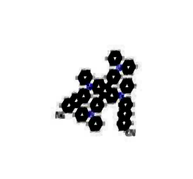 N#Cc1ccc2cc3cc(N(c4ccccc4)c4ccc5c(-c6ccc(N(c7ccccc7)c7ccccc7)cc6)c6cc(N(c7ccccc7)c7ccc8cc9cc(C#N)ccc9cc8c7)ccc6c(-c6ccc(N(c7ccccc7)c7ccccc7)cc6)c5c4)ccc3cc2c1